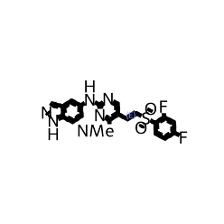 CNc1nc(Nc2ccc3[nH]ncc3c2)ncc1/C=C/S(=O)(=O)c1ccc(F)cc1F